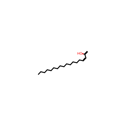 C=C(O)/C=C\CCCCCCCCCCCCCC